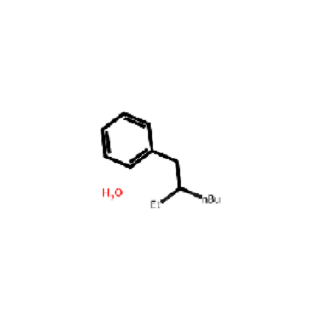 CCCCC(CC)Cc1ccccc1.O